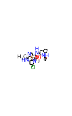 Cc1ncc(Cl)cc1N[C@@H](C)c1ncc(C(=O)N[C@@H](CC2CCCC2)C(=O)NC23CC(C2)C3)s1